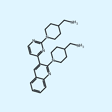 NCC1CCN(c2nccc(-c3cc4ccccc4nc3N3CCC(CN)CC3)n2)CC1